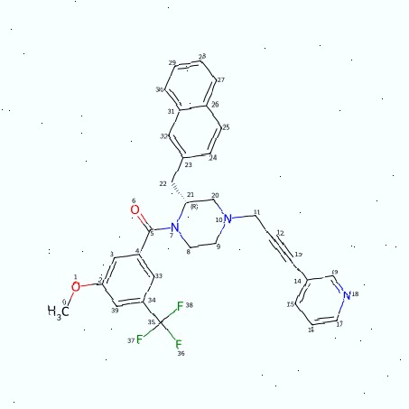 COc1cc(C(=O)N2CCN(CC#Cc3cccnc3)C[C@H]2Cc2ccc3ccccc3c2)cc(C(F)(F)F)c1